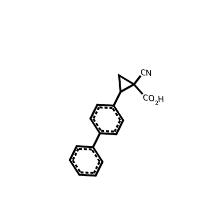 N#CC1(C(=O)O)CC1c1ccc(-c2ccccc2)cc1